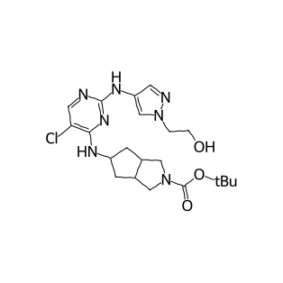 CC(C)(C)OC(=O)N1CC2CC(Nc3nc(Nc4cnn(CCO)c4)ncc3Cl)CC2C1